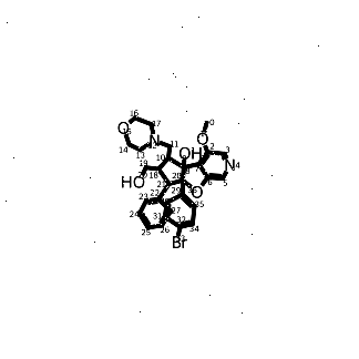 COc1cncc2c1C1(O)C(CN3CCOCC3)C(CO)C(c3ccccc3)C1(c1ccc(Br)cc1)O2